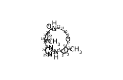 Cc1ccc2cc1COCCCCNC(=O)c1ccc(c(C)c1)-c1ccnc(n1)N2